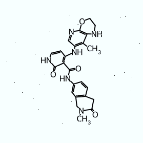 Cc1c(Nc2cc[nH]c(=O)c2C(=O)Nc2ccc3c(c2)CN(C)C(=O)C3)cnc2c1NCCO2